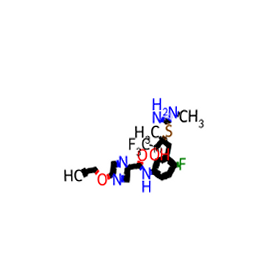 C#CCOc1cnc(C(=O)Nc2ccc(F)c(C[C@@](C)(S/C(N)=N\C)[C@H](O)C(F)(F)F)c2)cn1